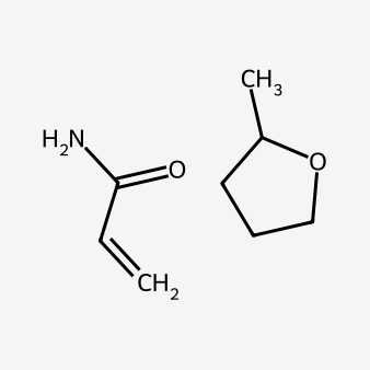 C=CC(N)=O.CC1CCCO1